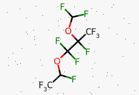 FC(F)OC(F)(C(F)(F)F)C(F)(F)OC(F)C(F)(F)F